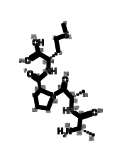 CSCC[C@H](NC(=O)[C@@H]1CCCN1C(=O)[C@H](C)NC(=O)[C@H](C)N)C(=O)O